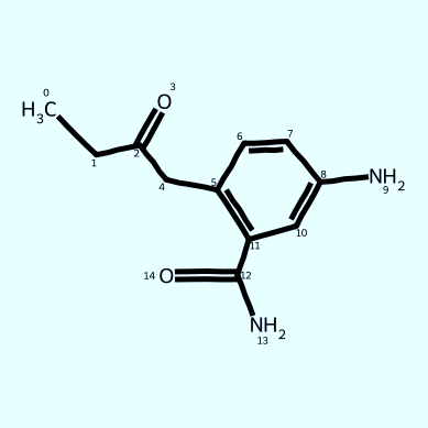 CCC(=O)Cc1ccc(N)cc1C(N)=O